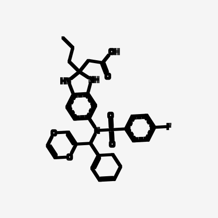 CCCC1(CC(=O)O)Nc2ccc(N(C(C3=CC=CCC3)C3=COC=CO3)S(=O)(=O)c3ccc(F)cc3)cc2N1